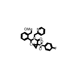 COCc1ccccc1C(C)N(Cc1ccccn1)C(=O)C1(S(=O)(=O)c2ccc(F)cc2)CC1